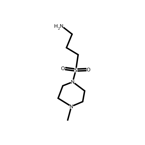 CN1CCN(S(=O)(=O)CCCN)CC1